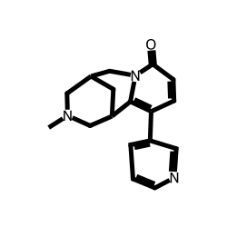 CN1CC2CC(C1)c1c(-c3cccnc3)ccc(=O)n1C2